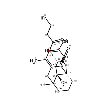 Cc1cc(O)cc2c1C[C@H]1NCC[C@@]23CC(=O)[C@@H](NC(=O)CCC(C)C)C[C@@]13O